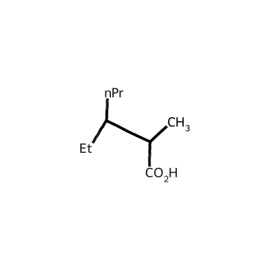 CCCC(CC)C(C)C(=O)O